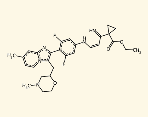 CCOC(=O)C1(C(=N)/C=C\Nc2cc(F)c(-c3nc4cc(C)ccn4c3CC3CN(C)CCO3)c(F)c2)CC1